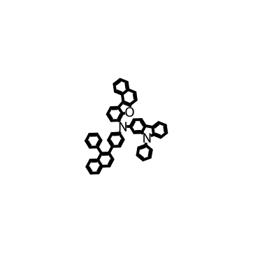 c1ccc(-c2c(-c3ccc(N(c4ccc5c6ccccc6n(-c6ccccc6)c5c4)c4cccc5c4oc4ccc6ccccc6c45)cc3)ccc3ccccc23)cc1